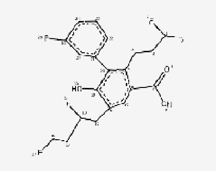 CC(F)CCc1c(C(=O)O)cc(CC(F)CCF)c(O)c1-c1cccc(F)c1